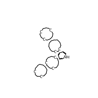 C1=CC=CNC=C1.C1CCCCCCCCCCC1.C1CCCCCCCCCCC1.C1CCCCCCCCCCC1.C1CCCCCCCCCCC1